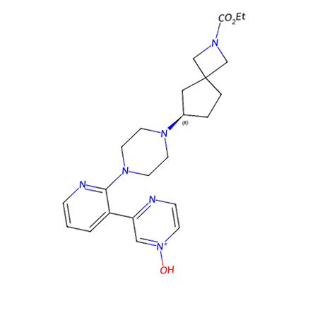 CCOC(=O)N1CC2(CC[C@@H](N3CCN(c4ncccc4-c4c[n+](O)ccn4)CC3)C2)C1